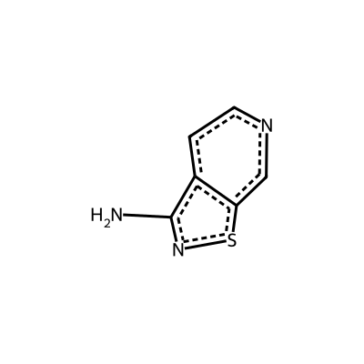 Nc1nsc2cnccc12